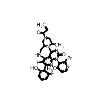 C=CC(=O)N1CC(C)N2c3nc(=O)n(-c4c(C)ccnc4C(C)C)c4nc(-c5c(O)cccc5F)c(F)c(c34)NCC2C1